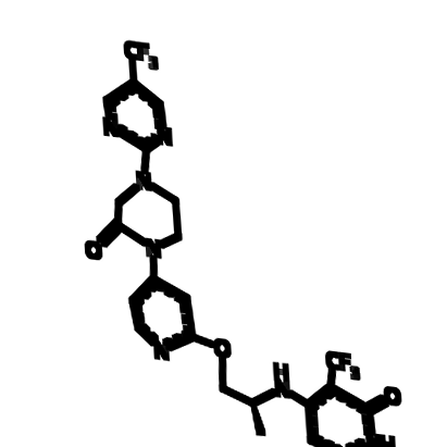 C[C@@H](COc1cc(N2CCN(c3ncc(C(F)(F)F)cn3)CC2=O)ccn1)Nc1cn[nH]c(=O)c1C(F)(F)F